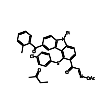 CCC(C)=O.CCn1c2ccc(C(=O)c3ccccc3C)cc2c2c(Sc3ccc(Cl)cc3)c(C(=O)C=NOC(C)=O)ccc21